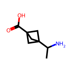 CC(N)C12CC(C(=O)O)(C1)C2